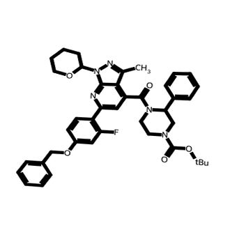 Cc1nn(C2CCCCO2)c2nc(-c3ccc(OCc4ccccc4)cc3F)cc(C(=O)N3CCN(C(=O)OC(C)(C)C)CC3c3ccccc3)c12